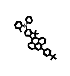 Cc1ccccc1N(c1ccccc1)c1ccc2c(c1)C(C)(C)c1c-2c2cccc3cc(-c4ccc(C(C)(C)C)cc4)c4cccc1c4c32